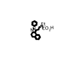 CCN(CCc1c2c(nn1-c1ccccc1)CCc1ccccc1-2)C(=O)O